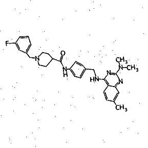 Cc1ccc2c(NCc3ccc(NC(=O)C4CCN(Cc5cccc(F)c5)CC4)cc3)nc(N(C)C)nc2c1